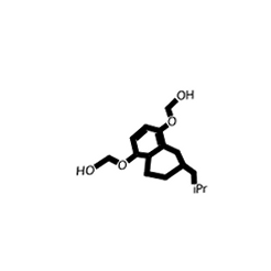 CC(C)CC1CCC2C(=C(OCO)C=CC2OCO)C1